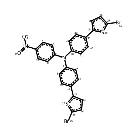 O=[N+]([O-])c1ccc(N(c2ccc(-c3ccc(Br)s3)cc2)c2ccc(-c3ccc(Br)s3)cc2)cc1